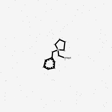 CCCCCCCC[N+]1(Cc2ccccc2)CCCC1